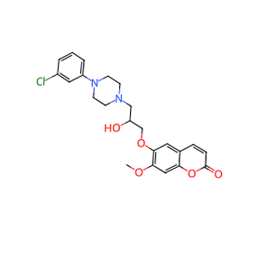 COc1cc2oc(=O)ccc2cc1OCC(O)CN1CCN(c2cccc(Cl)c2)CC1